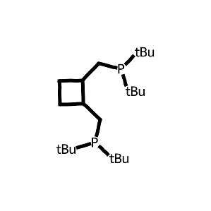 CC(C)(C)P(CC1CCC1CP(C(C)(C)C)C(C)(C)C)C(C)(C)C